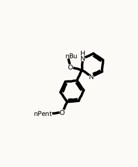 CCCCCOc1ccc(C2(OCCCC)N=CC=CN2)cc1